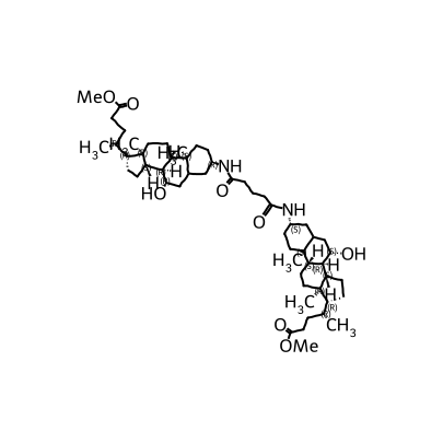 COC(=O)CC[C@@H](C)[C@H]1CC[C@H]2[C@@H]3[C@H](O)CC4C[C@H](NC(=O)CCCC(=O)N[C@H]5CC[C@@]6(C)C(C5)C[C@H](O)[C@H]5[C@@H]7CC[C@H]([C@H](C)CCC(=O)OC)[C@@]7(C)CC[C@@H]56)CC[C@]4(C)[C@H]3CC[C@]12C